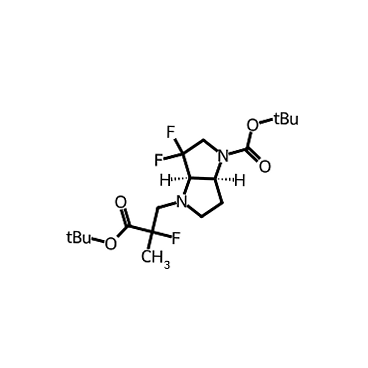 CC(C)(C)OC(=O)N1CC(F)(F)[C@H]2[C@@H]1CCN2CC(C)(F)C(=O)OC(C)(C)C